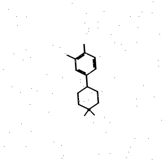 Cc1ccc(C2CCC(C(F)(F)F)(C(F)(F)F)CC2)cc1C(C)(C)C